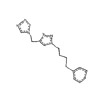 c1ccc(CCCCn2cc(Cn3cnnn3)nn2)cc1